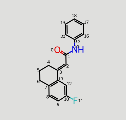 O=C(C=C1CCCc2ccc(F)cc21)Nc1ccccc1